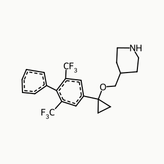 FC(F)(F)c1cc(C2(OCC3CCNCC3)CC2)cc(C(F)(F)F)c1-c1ccccc1